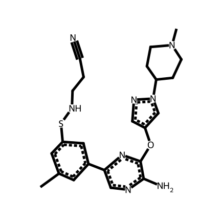 Cc1cc(SNCCC#N)cc(-c2cnc(N)c(Oc3cnn(C4CCN(C)CC4)c3)n2)c1